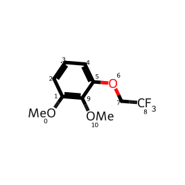 COc1c[c]cc(OCC(F)(F)F)c1OC